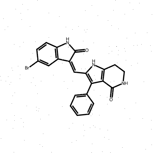 O=C1Nc2ccc(Br)cc2/C1=C/c1[nH]c2c(c1-c1ccccc1)C(=O)NCC2